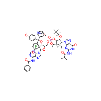 CC[C@]12C[C@@H]1[C@@H](n1cnc3c(=O)[nH]c(NC(=O)C(C)C)nc31)[C@H](O[Si](C)(C)C(C)(C)C)[C@@H]2OP(=O)(OCCC#N)OC[C@H]1O[C@@H](n2cnc3c(NC(=O)c4ccccc4)ncnc32)[C@H](F)[C@@H]1OC(c1ccccc1)(c1ccc(OC)cc1)c1ccc(OC)cc1